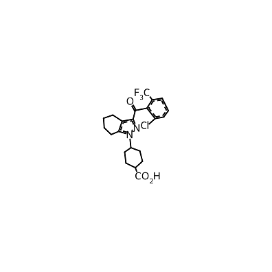 O=C(c1nn(C2CCC(C(=O)O)CC2)c2c1CCCC2)c1c(Cl)cccc1C(F)(F)F